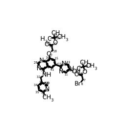 CC(C)(C)OC(=O)CBr.Cc1cnc(-c2cc(OCC(=O)OC(C)(C)C)c3ncnc(NCc4ccc(C)nn4)c3c2)nc1